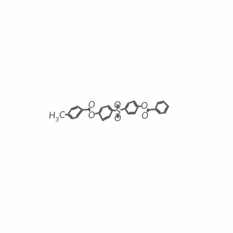 Cc1ccc(C(=O)Oc2ccc(S(=O)(=O)c3ccc(OC(=O)c4ccccc4)cc3)cc2)cc1